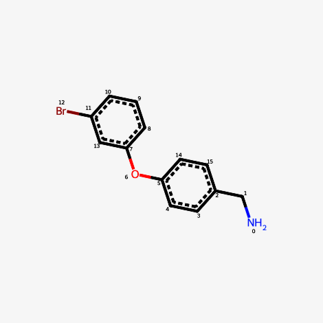 NCc1ccc(Oc2cccc(Br)c2)cc1